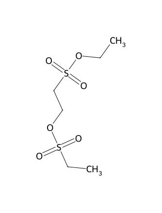 CCOS(=O)(=O)CCOS(=O)(=O)CC